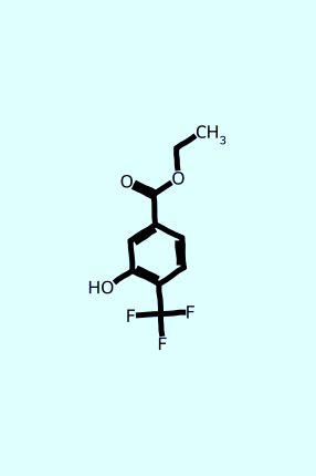 CCOC(=O)c1ccc(C(F)(F)F)c(O)c1